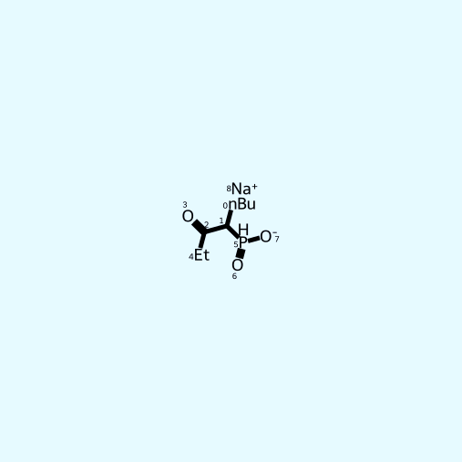 CCCCC(C(=O)CC)[PH](=O)[O-].[Na+]